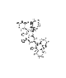 O=C(Nc1ccc(C(=O)N2C[C@H]3COCCN3Cc3ccccc32)c(Cl)c1)c1ccccc1-c1ccccc1